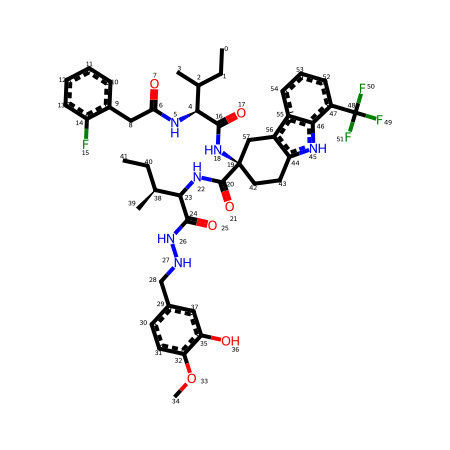 CCC(C)[C@H](NC(=O)Cc1ccccc1F)C(=O)N[C@]1(C(=O)NC(C(=O)NNCc2ccc(OC)c(O)c2)[C@@H](C)CC)CCc2[nH]c3c(C(F)(F)F)cccc3c2C1